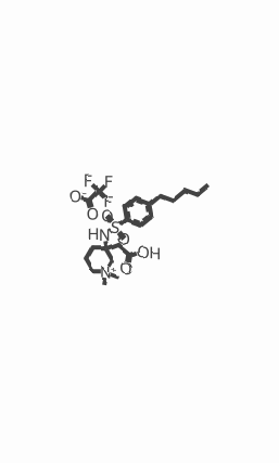 CCCCCc1ccc(S(=O)(=O)NC2(CC(=O)O)CCC[N+](C)(C)C2)cc1.O=C([O-])C(F)(F)F